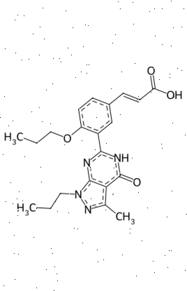 CCCOc1ccc(C=CC(=O)O)cc1-c1nc2c(c(C)nn2CCC)c(=O)[nH]1